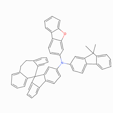 CC1(C)c2ccccc2-c2ccc(N(c3ccc4c(c3)C3(c5ccccc5CCc5ccccc53)c3ccccc3-4)c3ccc4c(c3)oc3ccccc34)cc21